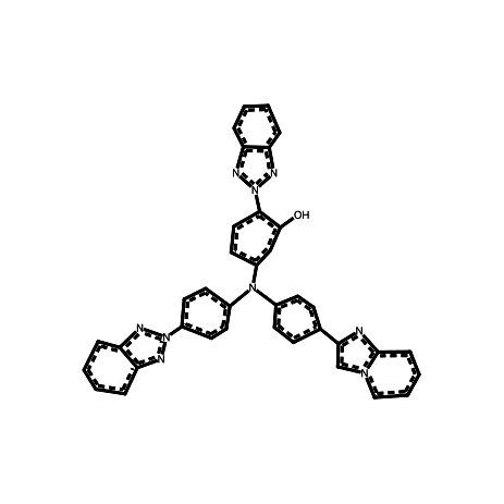 Oc1cc(N(c2ccc(-c3cn4ccccc4n3)cc2)c2ccc(-n3nc4ccccc4n3)cc2)ccc1-n1nc2ccccc2n1